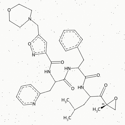 CC(C)CC(NC(=O)C(Cc1ccccc1)NC(=O)C(Cc1ccccn1)NC(=O)c1cc(CN2CCOCC2)on1)C(=O)[C@@]1(C)CO1